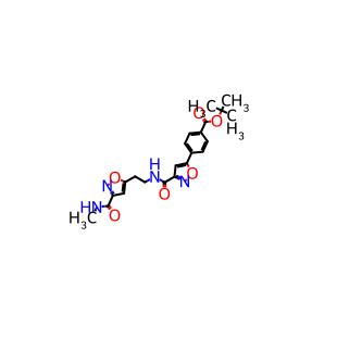 CNC(=O)c1cc(CCNC(=O)c2cc(-c3ccc(C(=O)OC(C)(C)C)cc3)on2)on1